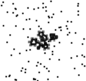 O=CN(O)C[C@@H](CC1CCCC1)C(=O)N1CCCN1C(=O)Cc1ccccc1